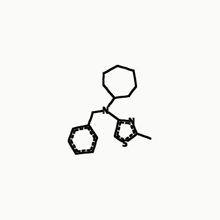 Cc1nc(N(Cc2ccccc2)C2CCCCCC2)cs1